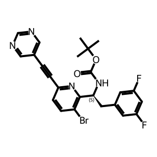 CC(C)(C)OC(=O)N[C@@H](Cc1cc(F)cc(F)c1)c1nc(C#Cc2cncnc2)ccc1Br